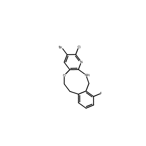 Fc1cccc2c1CNc1nc(Cl)c(Br)cc1OCC2